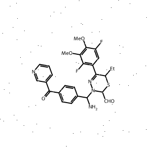 CCC1SC(C=O)N(C(N)c2ccc(C(=O)c3cccnc3)cc2)N=C1c1cc(F)c(OC)c(OC)c1F